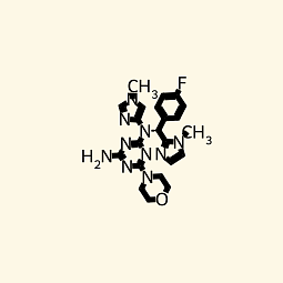 Cn1cnc(N(c2nc(N)nc(N3CCOCC3)n2)[C@H](c2ccc(F)cc2)c2nccn2C)c1